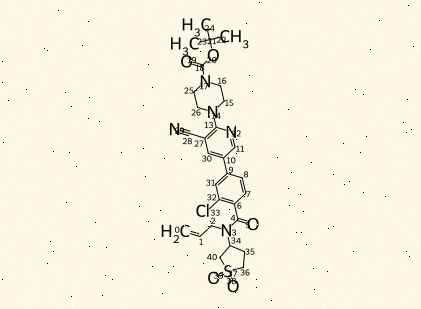 C=CCN(C(=O)c1ccc(-c2cnc(N3CCN(C(=O)OC(C)(C)C)CC3)c(C#N)c2)cc1Cl)C1CCS(=O)(=O)C1